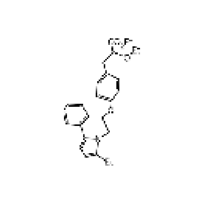 CCOC(=O)C(Cc1ccc(OCCn2c(CC)ccc2-c2ccccc2)cc1)OCC